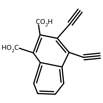 C#Cc1c(C(=O)O)c(C(=O)O)c2ccccc2c1C#C